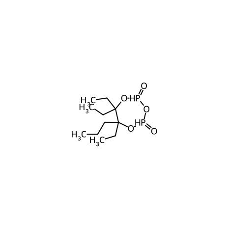 CCCC1(CC)O[PH](=O)O[PH](=O)OC1(CC)CC